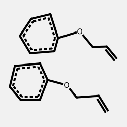 C=CCOc1ccccc1.C=CCOc1ccccc1